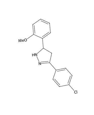 COc1ccccc1C1CC(c2ccc(Cl)cc2)=NN1